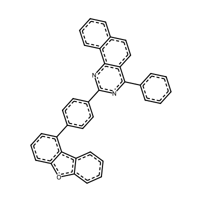 c1ccc(-c2nc(-c3ccc(-c4cccc5oc6ccccc6c45)cc3)nc3c2ccc2ccccc23)cc1